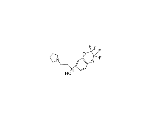 O[C@@H](CCN1CCCC1)c1ccc2c(c1)OC(F)(F)C(F)(F)O2